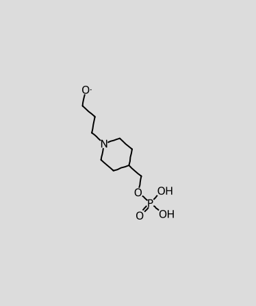 [O]CCCN1CCC(COP(=O)(O)O)CC1